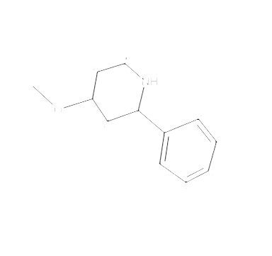 COC1CCNC(c2ccccc2)C1